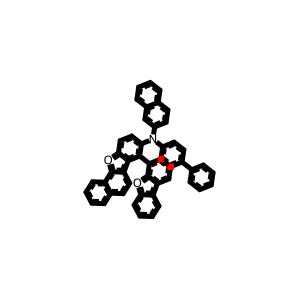 c1ccc(-c2ccc(N(c3ccc4ccccc4c3)c3ccc4oc5c6ccccc6ccc5c4c3-c3cccc4c3oc3ccccc34)cc2)cc1